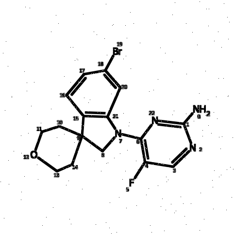 Nc1ncc(F)c(N2CC3(CCOCC3)c3ccc(Br)cc32)n1